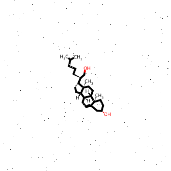 CC(C)CCC[C@@H](CO)[C@H]1CC[C@H]2[C@@H]3CC=C4C[C@@H](O)CC[C@]4(C)[C@H]3CC[C@]12C